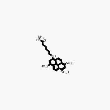 NNC(=O)CCCCCNc1cc(S(=O)(=O)O)c2ccc3c(S(=O)(=O)O)cc(S(=O)(=O)O)c4ccc1c2c43